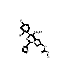 CCOC(=O)C1=C2CC(NC(=O)OC(C)C)CN2C(c2nccs2)=N[C@H]1c1ccc(F)cc1Br